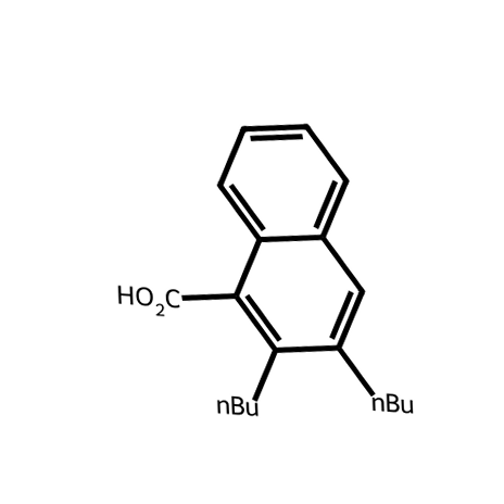 CCCCc1cc2ccccc2c(C(=O)O)c1CCCC